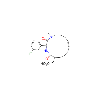 CN1CCCC=CCCCC(CC(=O)O)C(=O)NC(c2cccc(F)c2)C1=O